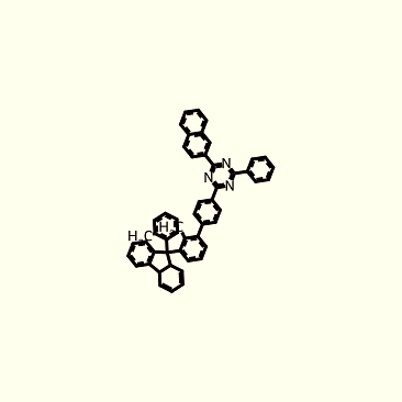 Cc1ccccc1C1(c2cccc(-c3ccc(-c4nc(-c5ccccc5)nc(-c5ccc6ccccc6c5)n4)cc3)c2C)c2ccccc2C2C=CC=CC21